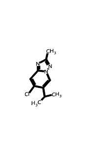 Cc1nc2cc(Cl)c(C(C)C)cn2n1